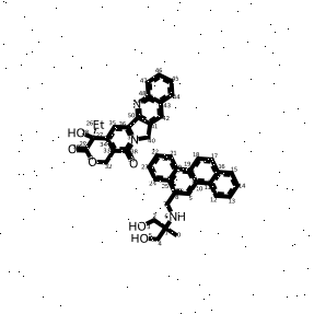 CC(CO)(CO)NCc1cc2c3ccccc3ccc2c2ccccc12.CC[C@@]1(O)C(=O)OCc2c1cc1n(c2=O)Cc2cc3ccccc3nc2-1